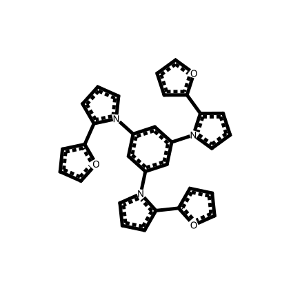 c1coc(-c2cccn2-c2cc(-n3cccc3-c3ccco3)cc(-n3cccc3-c3ccco3)c2)c1